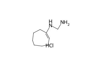 Cl.NCNC1=CCCCCCC1